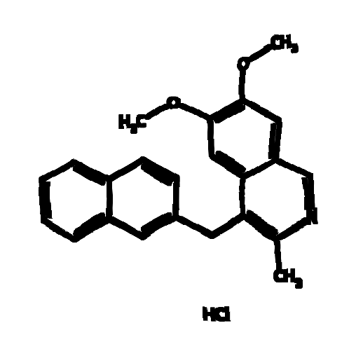 COc1cc2cnc(C)c(Cc3ccc4ccccc4c3)c2cc1OC.Cl